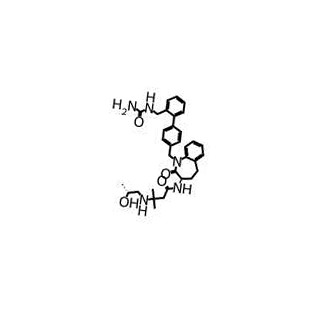 C[C@@H](O)CNC(C)(C)CC(=O)N[C@@H]1CCc2ccccc2N(Cc2ccc(-c3ccccc3CNC(N)=O)cc2)C1=O